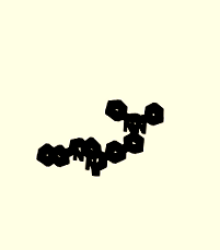 Cc1cc(-c2ccc(-c3cccc(-c4nc(-c5ccccc5)cc(-c5ccccc5)n4)c3)cc2)c2ccc3ccc(-c4ccc5ccccc5c4)nc3c2n1